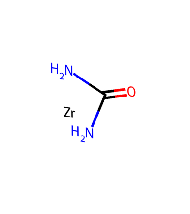 NC(N)=O.[Zr]